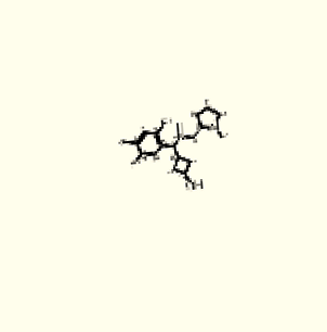 Cc1cc(F)c(C(NC[C@H]2CCCN2C)C2CC(O)C2)cc1F